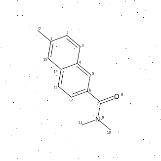 Cc1ccc2cc(C(=O)N(C)C)ccc2c1